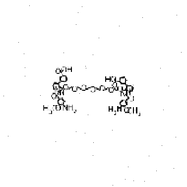 COc1cc(C(=O)c2nc(OCCOCCOCCOCCOCCOCCOc3nc(C(=O)c4ccc(N)c(OC)c4)n4cccc(-c5cccc(C(=O)O)c5)c34)c3c(-c4cccc(C(=O)O)c4)cccn23)ccc1N